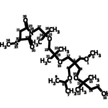 COCC(COC(C)C)(COC(C)(C)CCO)COC(C)(C)COC(C)(C)CN1C(=O)CC(SC)C1=O